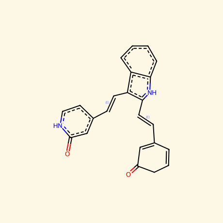 O=C1C=C(/C=C/c2[nH]c3ccccc3c2/C=C/c2cc[nH]c(=O)c2)C=CC1